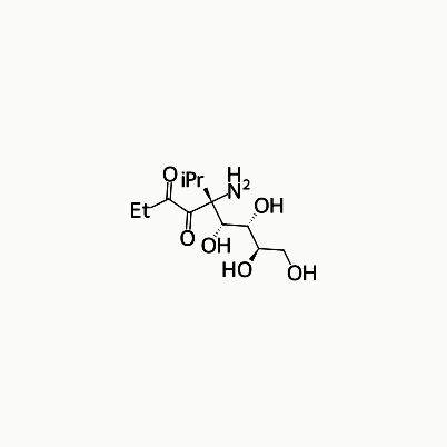 CCC(=O)C(=O)[C@@](N)(C(C)C)[C@@H](O)[C@H](O)[C@H](O)CO